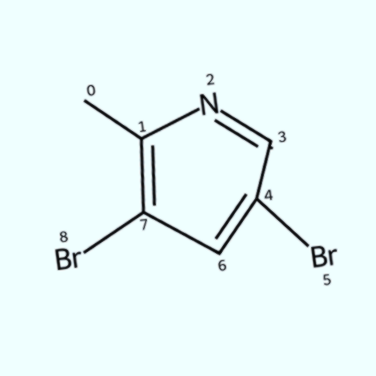 Cc1n[c]c(Br)cc1Br